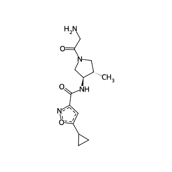 C[C@H]1CN(C(=O)CN)C[C@@H]1NC(=O)c1cc(C2CC2)on1